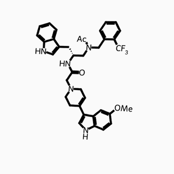 COc1ccc2[nH]cc(C3=CCN(CC(=O)N[C@H](Cc4c[nH]c5ccccc45)CN(Cc4ccccc4C(F)(F)F)C(C)=O)CC3)c2c1